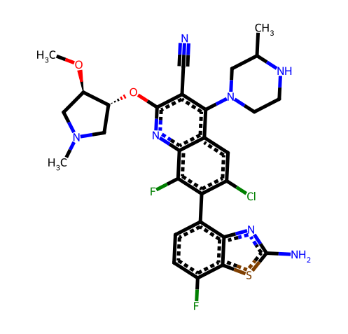 CO[C@@H]1CN(C)C[C@H]1Oc1nc2c(F)c(-c3ccc(F)c4sc(N)nc34)c(Cl)cc2c(N2CCNC(C)C2)c1C#N